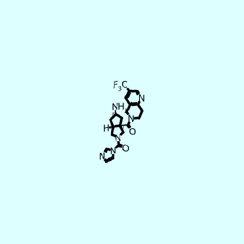 N[C@@H]1C[C@H]2CN(C(=O)n3ccnc3)C[C@@]2(C(=O)N2CCc3ncc(C(F)(F)F)cc3C2)C1